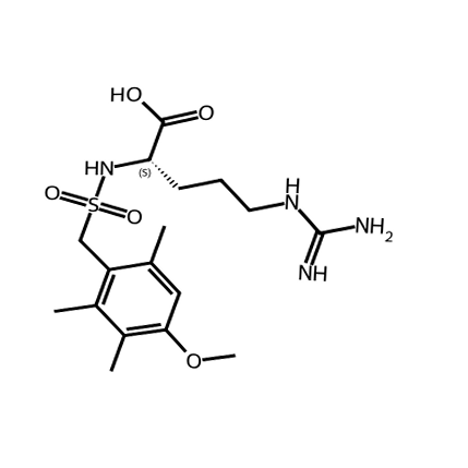 COc1cc(C)c(CS(=O)(=O)N[C@@H](CCCNC(=N)N)C(=O)O)c(C)c1C